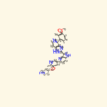 COc1cccc(-c2nccc3[nH]c(-c4n[nH]c5ccc(-c6cncc(OC7CCNCC7)c6)nc45)nc23)c1